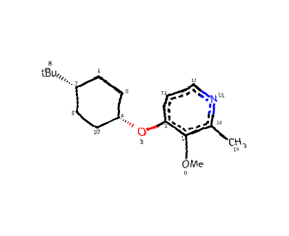 COc1c(O[C@H]2CC[C@@H](C(C)(C)C)CC2)ccnc1C